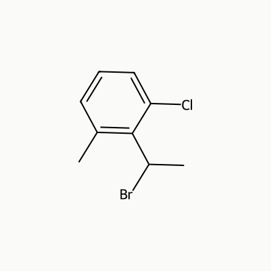 Cc1cccc(Cl)c1C(C)Br